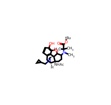 CC(=O)N[C@@]12CCC(N(C)C(C)(C)C(=O)OC(C)(C)C)C3Oc4c(O)ccc5c4[C@@]31CCN(CC1CC1)[C@@H]2C5